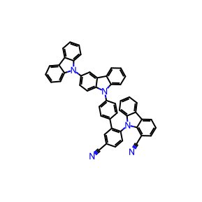 N#Cc1ccc(-n2c3ccccc3c3cccc(C#N)c32)c(-c2ccc(-n3c4ccccc4c4cc(-n5c6ccccc6c6ccccc65)ccc43)cc2)c1